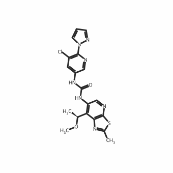 CO[C@@H](C)c1c(NC(=O)Nc2cnc(-n3cccn3)c(Cl)c2)cnc2sc(C)nc12